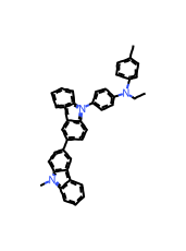 CCN(c1ccc(C)cc1)c1ccc(-n2c3ccccc3c3cc(-c4ccc5c(c4)c4ccccc4n5C)ccc32)cc1